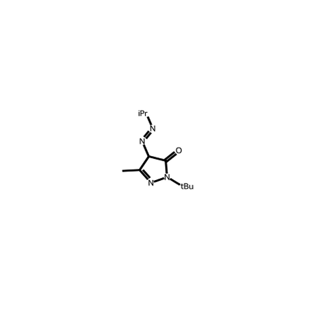 CC1=NN(C(C)(C)C)C(=O)C1/N=N/C(C)C